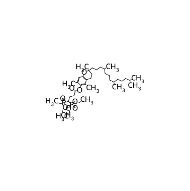 CCOP(=O)(CC)C(CCC(=O)Oc1c(C)cc2c(c1C)CCC(C)(CCCC(C)CCCC(C)CCCC(C)C)O2)P(=O)(OCC)OCC